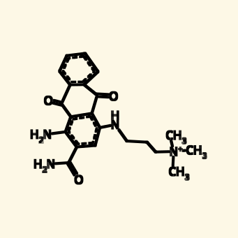 C[N+](C)(C)CCCNc1cc(C(N)=O)c(N)c2c1C(=O)c1ccccc1C2=O